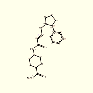 COC(=O)C1CCC(NC(=O)/C=C/CN2CCC[C@H]2c2cccnc2)CC1